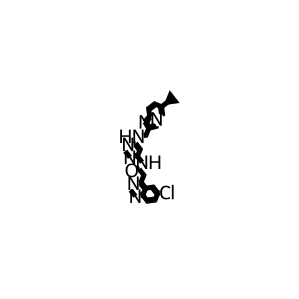 O=C(Cc1ncnc2ccc(Cl)cc12)Nc1cc(NCc2cn3cc(C4CC4)ccc3n2)ncn1